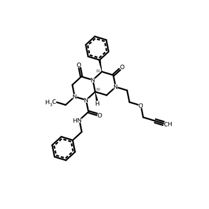 C#CCOCCN1C[C@H]2N(C(=O)CN(CC)N2C(=O)NCc2ccccc2)[C@@H](c2ccccc2)C1=O